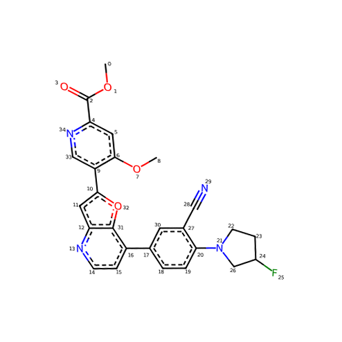 COC(=O)c1cc(OC)c(-c2cc3nccc(-c4ccc(N5CCC(F)C5)c(C#N)c4)c3o2)cn1